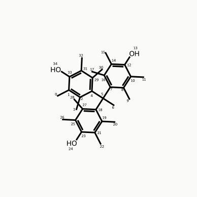 Cc1c(C)c(C(C)(c2c(C)c(C)c(O)c(C)c2C)c2c(C)c(C)c(O)c(C)c2C)c(C)c(C)c1O